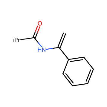 C=C(NC(=O)C(C)C)c1ccccc1